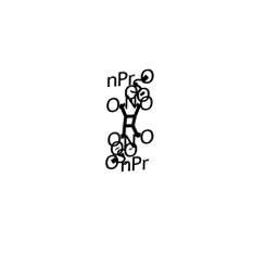 CCCS(=O)(=O)ON1C(=O)C2C(C1=O)C1C(=O)N(OS(=O)(=O)CCC)C(=O)C21